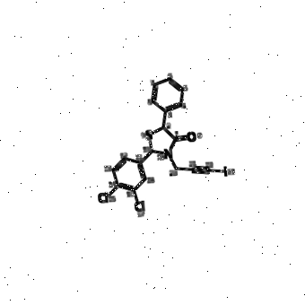 O=C1C(c2ccccc2)SC(c2ccc(Cl)c(Cl)c2)N1CC#CI